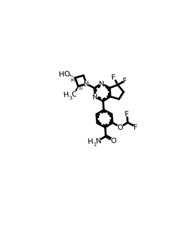 C[C@H]1[C@H](O)CN1c1nc(-c2ccc(C(N)=O)c(OC(F)F)c2)c2c(n1)C(F)(F)CC2